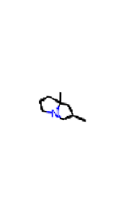 CC1CN2CCCC2(C)C1